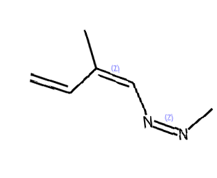 C=C/C(C)=C\N=N/C